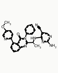 COc1ccc(-c2cccc3nc([C@H](C)Nc4nc(N)ncc4C#N)n(-c4ccccc4)c(=O)c23)nc1